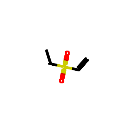 C=CS(=O)(=O)[CH]C